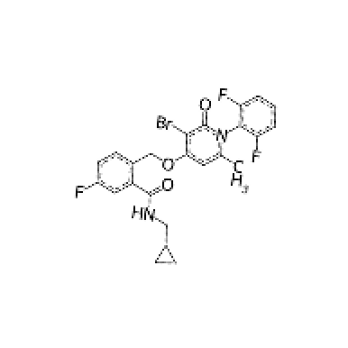 Cc1cc(OCc2ccc(F)cc2C(=O)NCC2CC2)c(Br)c(=O)n1-c1c(F)cccc1F